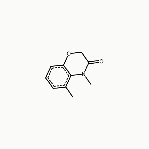 Cc1cccc2c1N(C)C(=O)CO2